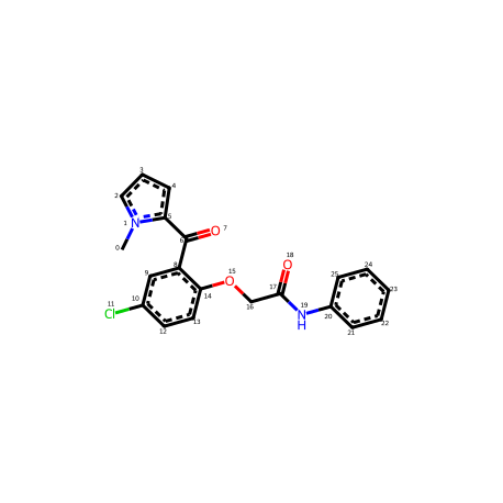 Cn1cccc1C(=O)c1cc(Cl)ccc1OCC(=O)Nc1ccccc1